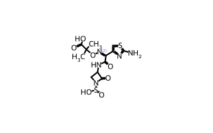 CC(C)(O/N=C(\C(=O)NC1CN(S(=O)O)C1=O)c1csc(N)n1)C(=O)O